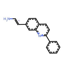 N/C=C/c1ccc2ccc(-c3ccccc3)nc2c1